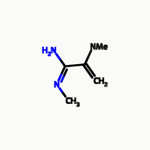 C=C(NC)/C(N)=N\C